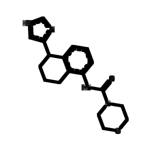 O=C(Nc1cccc2c1CCCC2c1c[nH]cn1)N1CCOCC1